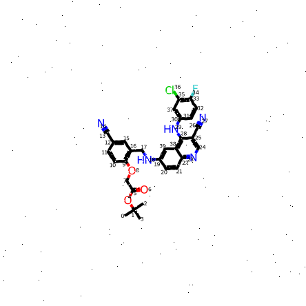 CC(C)(C)OC(=O)COc1ccc(C#N)cc1CNc1ccc2ncc(C#N)c(Nc3ccc(F)c(Cl)c3)c2c1